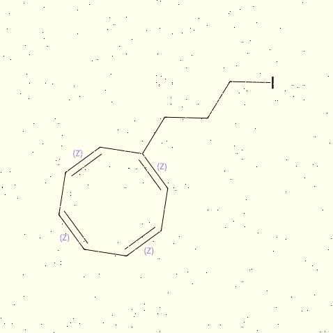 ICCCC1=C/C=C\C=C/C=C\1